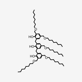 CCCCCCCCOCc1cc(COCCCCCCCC)c(O)c(Cc2cc(COCCCCCCCC)cc(Cc3cc(COCCCCCCCC)cc(COCCCCCCCC)c3O)c2O)c1